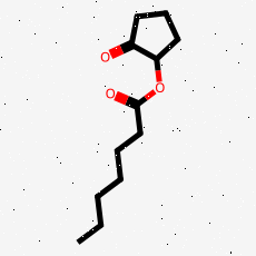 CCCCCCC(=O)OC1CCCC1=O